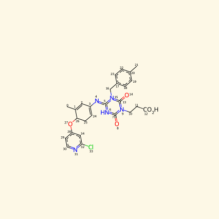 CC1=CC(/N=c2\[nH]c(=O)n(CCC(=O)O)c(=O)n2Cc2ccc(C)cc2)=CCC1Oc1ccnc(Cl)c1